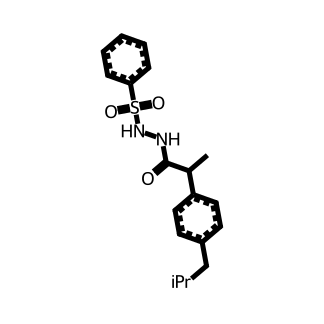 CC(C)Cc1ccc(C(C)C(=O)NNS(=O)(=O)c2ccccc2)cc1